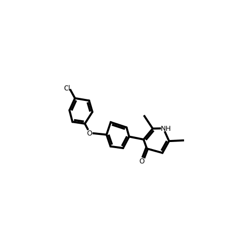 Cc1cc(=O)c(-c2ccc(Oc3ccc(Cl)cc3)cc2)c(C)[nH]1